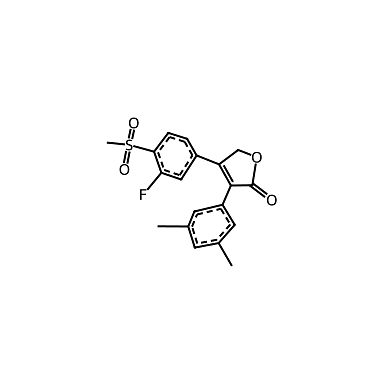 Cc1cc(C)cc(C2=C(c3ccc(S(C)(=O)=O)c(F)c3)COC2=O)c1